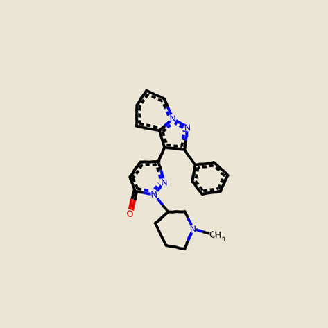 CN1CCCC(n2nc(-c3c(-c4ccccc4)nn4ccccc34)ccc2=O)C1